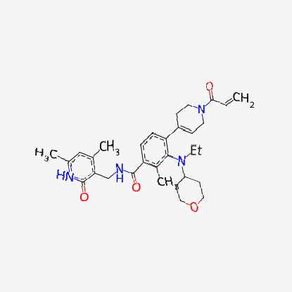 C=CC(=O)N1CC=C(c2ccc(C(=O)NCc3c(C)cc(C)[nH]c3=O)c(C)c2N(CC)C2CCOCC2)CC1